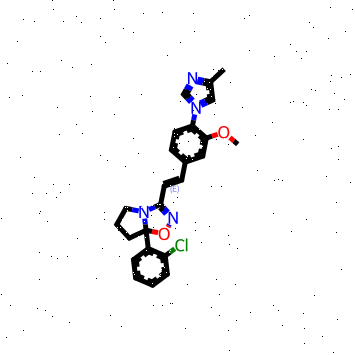 COc1cc(/C=C/C2=NOC3(c4ccccc4Cl)CCCN23)ccc1-n1cnc(C)c1